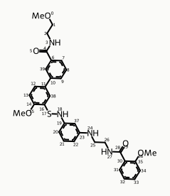 COCCNC(=O)c1cccc(-c2ccc(OC)c(SNc3cccc(NCCNC(=O)c4ccccc4OC)c3)c2)c1